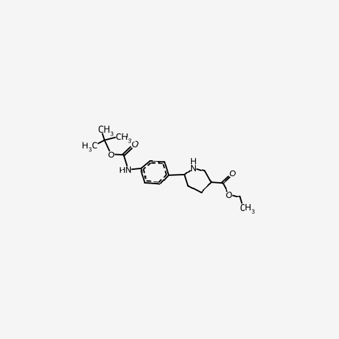 CCOC(=O)C1CCC(c2ccc(NC(=O)OC(C)(C)C)cc2)NC1